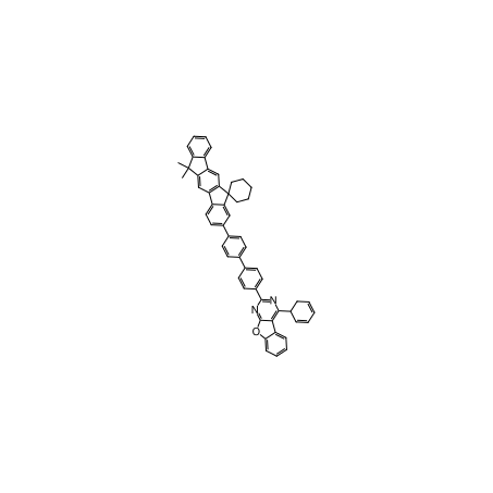 CC1(C)c2ccccc2-c2cc3c(cc21)-c1ccc(-c2ccc(-c4ccc(-c5nc(C6C=CC=CC6)c6c(n5)oc5ccccc56)cc4)cc2)cc1C31CCCCC1